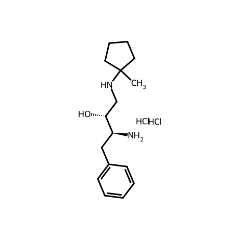 CC1(NC[C@@H](O)[C@@H](N)Cc2ccccc2)CCCC1.Cl.Cl